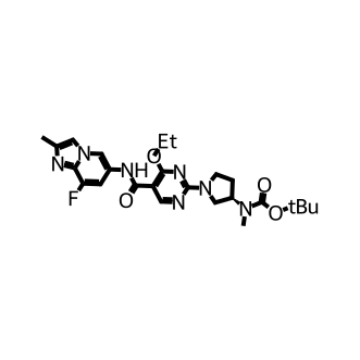 CCOc1nc(N2CC[C@@H](N(C)C(=O)OC(C)(C)C)C2)ncc1C(=O)Nc1cc(F)c2nc(C)cn2c1